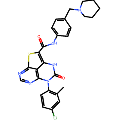 Cc1cc(Cl)ccc1N1C(=O)Nc2c(C(=O)Nc3ccc(CN4CCCCC4)cc3)sc3ncnc1c23